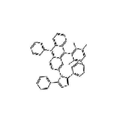 Cc1cc(C)c(C)c(-c2c3ccccc3c(-c3ccccc3)c3ccc(-n4c(-c5ccccc5)ccc4-c4ccccc4)cc23)c1C